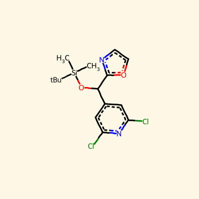 CC(C)(C)[Si](C)(C)OC(c1cc(Cl)nc(Cl)c1)c1ncco1